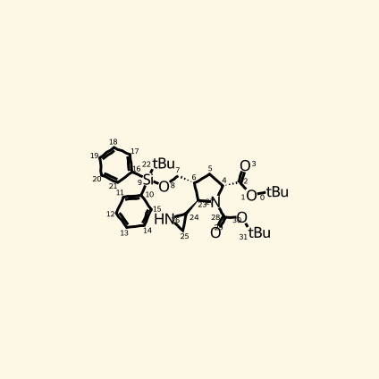 CC(C)(C)OC(=O)[C@H]1C[C@@H](CO[Si](c2ccccc2)(c2ccccc2)C(C)(C)C)[C@H](C2CN2)N1C(=O)OC(C)(C)C